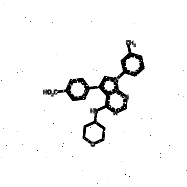 Cc1cccc(-n2cc(-c3ccc(C(=O)O)cc3)c3c(NC4CCOCC4)ncnc32)c1